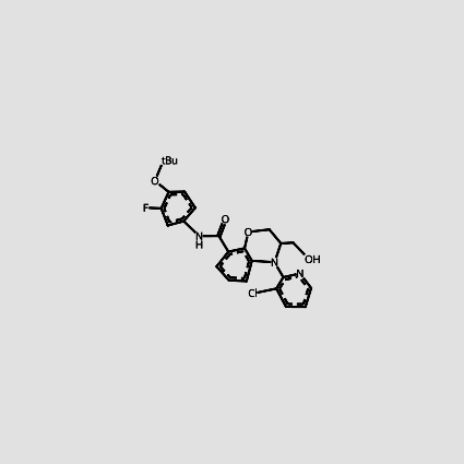 CC(C)(C)Oc1ccc(NC(=O)c2cccc3c2OCC(CO)N3c2ncccc2Cl)cc1F